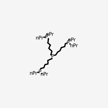 CCCP(CCC)CCCCCCP(CCCCCCP(CCC)CCC)CCCCCCP(CCC)CCC